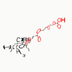 CCC(C)(C)C(C)(C)OOC=CC(=O)OCCOCCOC(=O)O